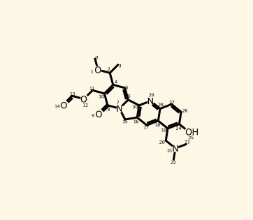 COC(C)c1cc2n(c(=O)c1COC=O)Cc1cc3c(CN(C)C)c(O)ccc3nc1-2